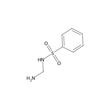 NCNS(=O)(=O)c1ccccc1